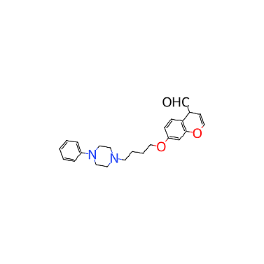 O=CC1C=COc2cc(OCCCCN3CCN(c4ccccc4)CC3)ccc21